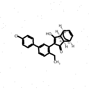 CCc1ccc(-c2ccc(Cl)cc2)cc1C1=C(O)[C@@H]2[C@H](C1=O)[C@@H]1C=C[C@H]2CC1